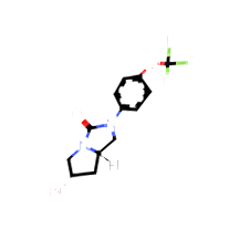 O=C1N(c2ccc(OC(F)(F)F)cc2)C[C@@H]2C[C@H](Br)CN12